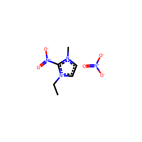 CC[n+]1ccn(C)c1[N+](=O)[O-].O=[N+]([O-])[O-]